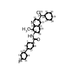 Cc1c(NC(=O)c2ccc(-c3ccc(F)cc3)cc2)ccc2cc(C(Cl)c3ccccc3)cnc12